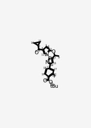 CC(Oc1ccc(C(=O)C2CC2)cn1)c1cc(-c2ccc(C(=O)OC(C)(C)C)c(F)c2)ns1